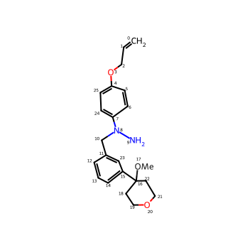 C=CCOc1ccc(N(N)Cc2cccc(C3(OC)CCOCC3)c2)cc1